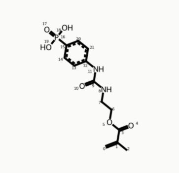 C=C(C)C(=O)OCCNC(=O)Nc1ccc(P(=O)(O)O)cc1